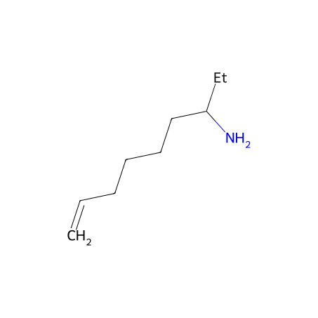 C=CCCCCC(N)CC